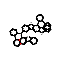 c1ccc(-c2ccccc2-c2c3oc4ccc(N(c5ccccc5-c5ccccc5)c5cccc6c5sc5ccccc56)cc4c3cc3oc4ccccc4c23)cc1